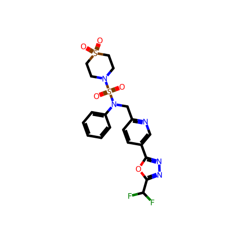 O=S1(=O)CCN(S(=O)(=O)N(Cc2ccc(-c3nnc(C(F)F)o3)cn2)c2ccccc2)CC1